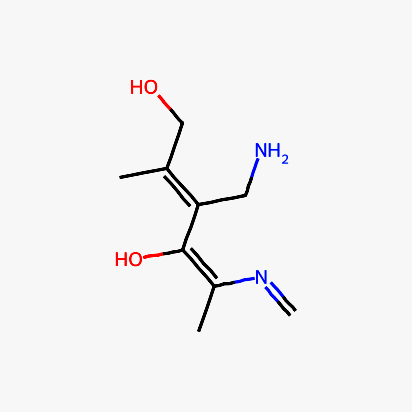 C=N/C(C)=C(O)\C(CN)=C(/C)CO